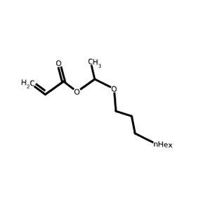 C=CC(=O)OC(C)OCCCCCCCCC